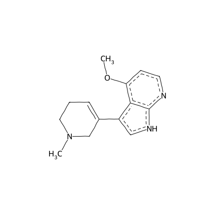 COc1ccnc2[nH]cc(C3=CCCN(C)C3)c12